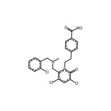 CN(Cc1ccccc1Cl)Cc1c(Cl)cc(Cl)c(=O)n1CCc1ccc(C(=O)N=O)cc1